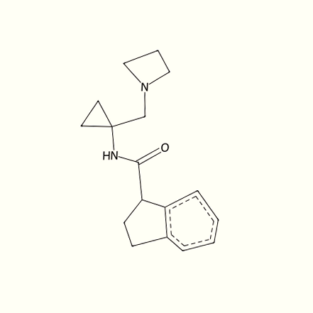 O=C(NC1(CN2CCC2)CC1)C1CCc2ccccc21